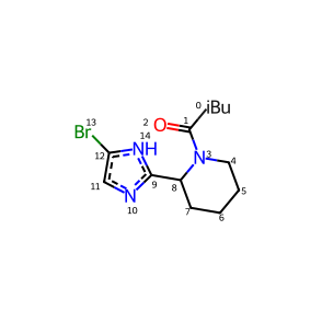 CCC(C)C(=O)N1CCCCC1c1ncc(Br)[nH]1